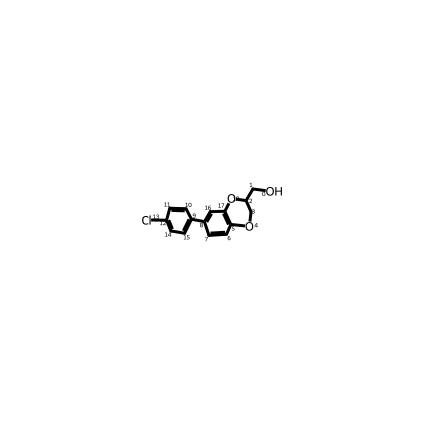 OCC1COc2ccc(-c3ccc(Cl)cc3)cc2O1